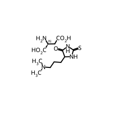 CN(C)CCCC1NC(=S)NC1=O.N[C@@H](CC(=O)O)C(=O)O